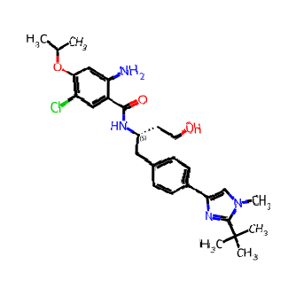 CC(C)Oc1cc(N)c(C(=O)N[C@H](CCO)Cc2ccc(-c3cn(C)c(C(C)(C)C)n3)cc2)cc1Cl